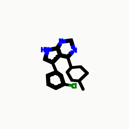 CC1CCC(c2ncnc3[nH]cc(-c4cccc(Cl)c4)c23)CC1